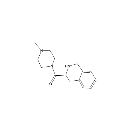 CN1CCN(C(=O)[C@@H]2Cc3ccccc3CN2)CC1